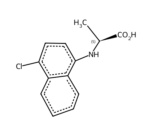 C[C@H](Nc1ccc(Cl)c2ccccc12)C(=O)O